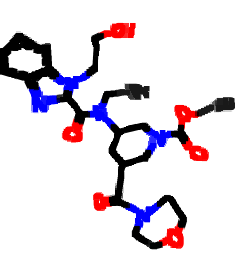 CC(C)CN(C(=O)c1nc2ccccc2n1CCO)C1CC(C(=O)N2CCOCC2)CN(C(=O)OC(C)(C)C)C1